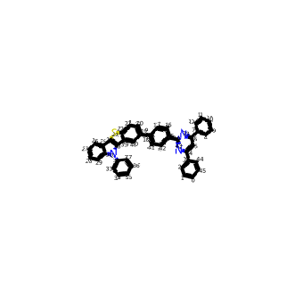 c1ccc(-c2cc(-c3ccccc3)nc(-c3ccc(-c4ccc5sc6c7ccccc7n(-c7ccccc7)c6c5c4)cc3)n2)cc1